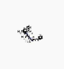 CC1=C(/C=C/C(C)=C/C=C/C(C)=C\C(=O)NCCc2ccccc2)C(C)(C)CCC1n1ccnc1